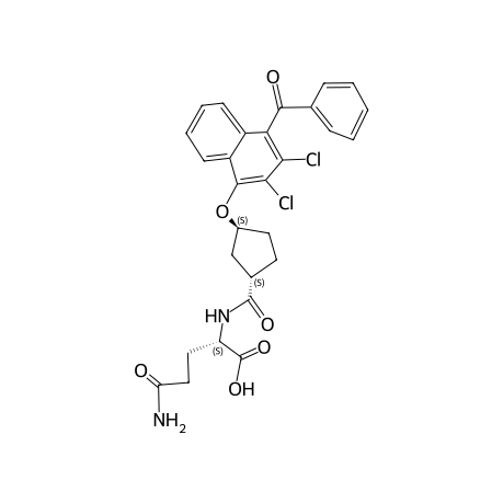 NC(=O)CC[C@H](NC(=O)[C@H]1CC[C@H](Oc2c(Cl)c(Cl)c(C(=O)c3ccccc3)c3ccccc23)C1)C(=O)O